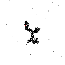 CN1CCN(c2ccc(CN3CCN(c4ccc(CN5CCN(c6cccc7nc([C@H]8CCC[C@@H](c9ncccc9C9CC9)N8C)cn67)CC5)c5nc([C@H]6CCC[C@@H](c7ncccc7C(F)(F)F)N6C)cn45)CC3)c3nc([C@H]4CCC[C@@H](c5ncccc5OC(F)(F)F)N4C)cn23)CC1